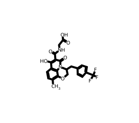 Cc1ccc2c(O)c(C(=O)NCC(=O)O)c(=O)n3c2c1OCC3Cc1ccc(C(F)(F)F)cc1